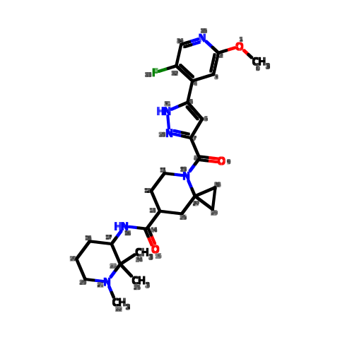 COc1cc(-c2cc(C(=O)N3CCC(C(=O)NC4CCCN(C)C4(C)C)CC34CC4)n[nH]2)c(F)cn1